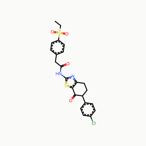 CCS(=O)(=O)c1ccc(CC(=O)Nc2nc3c(s2)C(=O)C(c2ccc(Cl)cc2)CC3)cc1